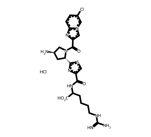 Cl.N=C(N)NCCCCC(NC(=O)c1csc([C@@H]2C[C@@H](N)CN2C(=O)c2cn3cc(Cl)ccc3n2)n1)C(=O)O